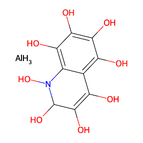 OC1=C(O)C(O)N(O)c2c(O)c(O)c(O)c(O)c21.[AlH3]